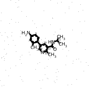 Cc1cc(N)ccc1-c1cnc(C)c(C(=O)NC(C)C)c1